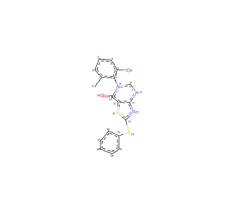 Cc1cccc(Cl)c1-n1cnc2nc(Sc3ccccc3)sc2c1=O